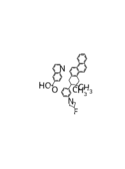 CC1(C)Cc2c(ccc3c2ccc2ccccc23)CC1c1cccc(N2CC(F)C2)c1.O=C(O)c1ccc2ncccc2c1